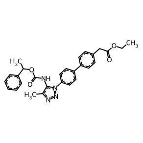 CCOC(=O)Cc1ccc(-c2ccc(-n3nnc(C)c3NC(=O)OC(C)c3ccccc3)cc2)cc1